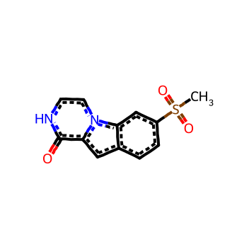 CS(=O)(=O)c1ccc2cc3c(=O)[nH]ccn3c2c1